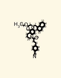 CCOC(=O)CN(Cc1cccc2ccccc12)c1ccc2c(c1)CCCN2C(=O)CCc1ccc(C#N)cc1